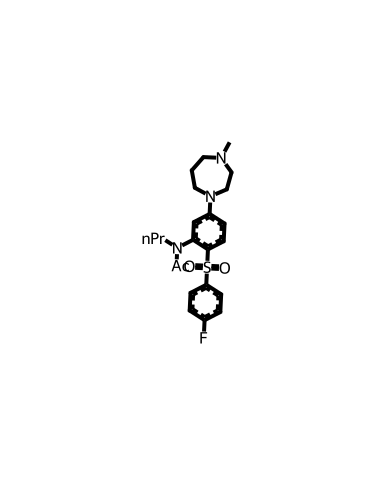 CCCN(C(C)=O)c1cc(N2CCCN(C)CC2)ccc1S(=O)(=O)c1ccc(F)cc1